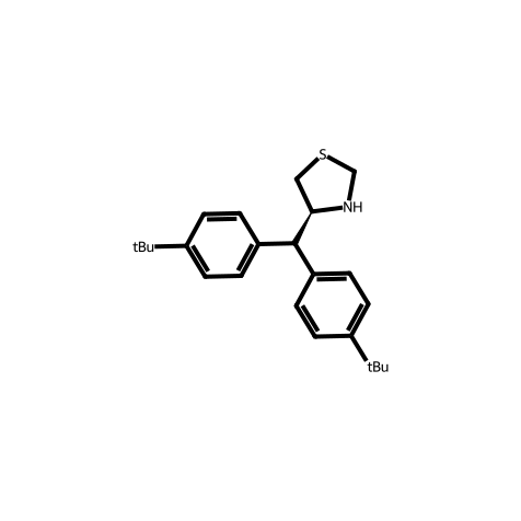 CC(C)(C)c1ccc(C(c2ccc(C(C)(C)C)cc2)[C@H]2CSCN2)cc1